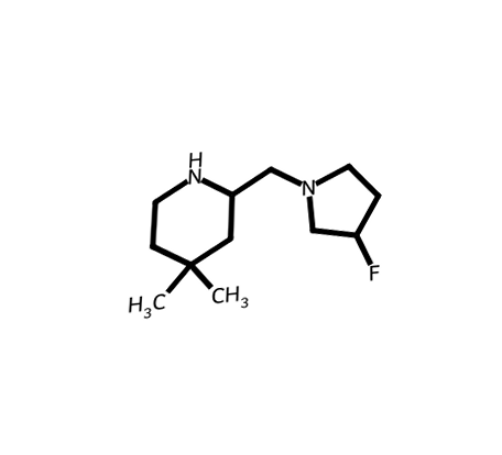 CC1(C)CCNC(CN2CCC(F)C2)C1